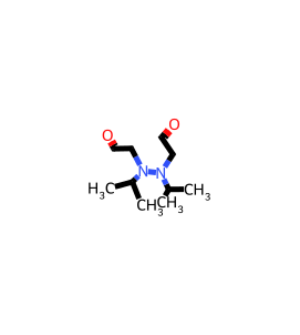 CC(C)N(CC=O)N(CC=O)C(C)C